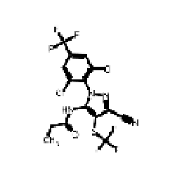 CCC(=O)Nc1c(SC(F)(F)F)c(C#N)nn1-c1c(Cl)cc(C(F)(F)F)cc1Cl